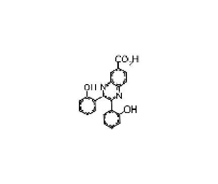 O=C(O)c1ccc2nc(-c3ccccc3O)c(-c3ccccc3O)nc2c1